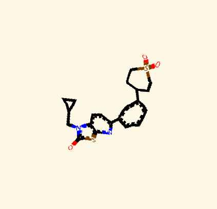 O=c1sc2nc(-c3cccc(C4CCS(=O)(=O)CC4)c3)ccc2n1CC1CC1